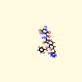 O=C1CNC(=O)C(C(=O)NC2C(=O)N3C(C(=O)OCc4ccccc4)=C(CCSc4nnn[nH]4)CSC23)N1